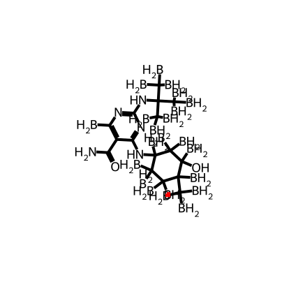 Bc1nc(NC(C(B)(B)B)(C(B)(B)B)C(B)(B)B)nc(NC2(B)C(B)(B)C(B)(B)C(B)(C(B)(B)B)C(B)(O)C2(B)B)c1C(N)=O